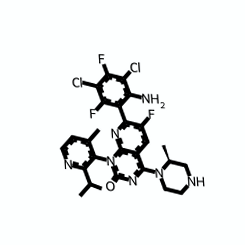 Cc1ccnc(C(C)C)c1-n1c(=O)nc(N2CCNC[C@@H]2C)c2cc(F)c(-c3c(N)c(Cl)c(F)c(Cl)c3F)nc21